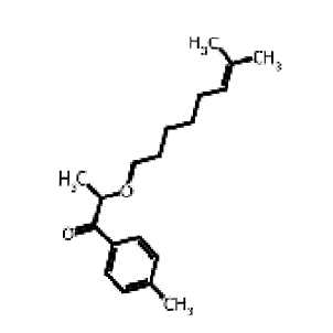 CC(C)=CCCCCCOC(C)C(=O)c1ccc(C)cc1